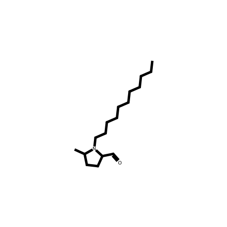 CCCCCCCCCCCN1C(C)CCC1C=O